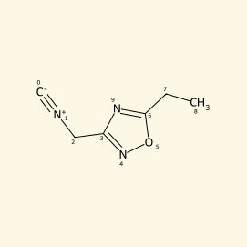 [C-]#[N+]Cc1noc(CC)n1